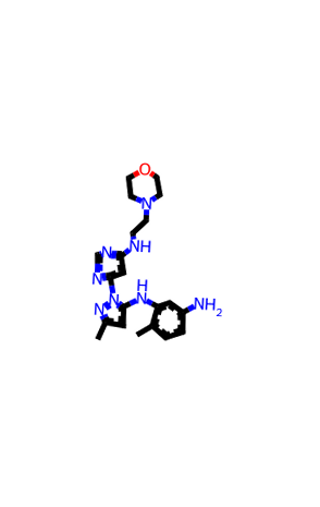 Cc1cc(Nc2cc(N)ccc2C)n(-c2cc(NCCN3CCOCC3)ncn2)n1